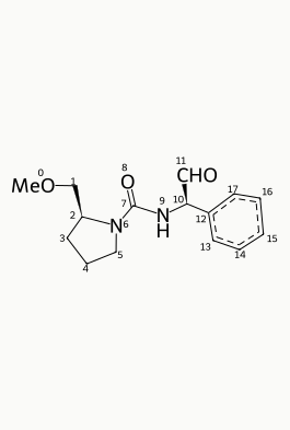 COC[C@@H]1CCCN1C(=O)N[C@@H](C=O)c1ccccc1